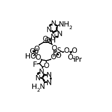 CC(C)OC(=O)OCSP1(=O)OCC2OC(n3cnc4c(N)ncnc43)C(F)C2OP(=O)(O)OCC2OC(n3cnc4c(N)ncnc43)C(O1)C2O